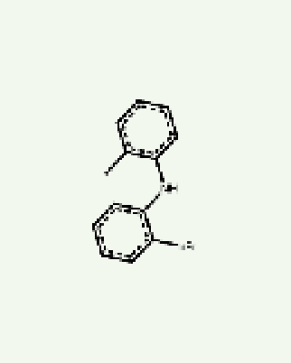 CCCc1ccccc1Nc1ccccc1C